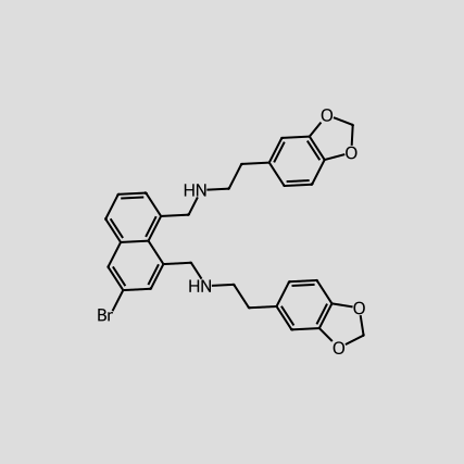 Brc1cc(CNCCc2ccc3c(c2)OCO3)c2c(CNCCc3ccc4c(c3)OCO4)cccc2c1